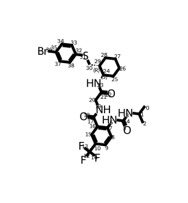 CC(C)NC(=O)Nc1ccc(C(F)(F)F)cc1C(=O)NCC(=O)N[C@H]1CCCC[C@H]1CSc1ccc(Br)cc1